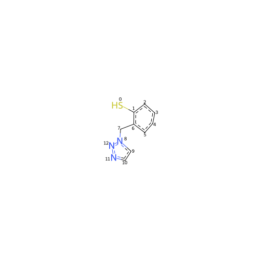 Sc1ccccc1Cn1ccnn1